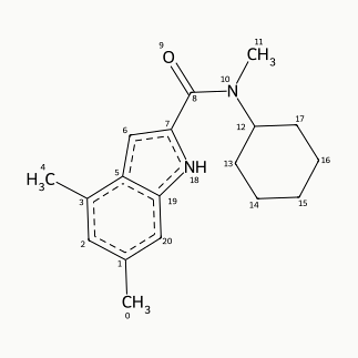 Cc1cc(C)c2cc(C(=O)N(C)C3CCCCC3)[nH]c2c1